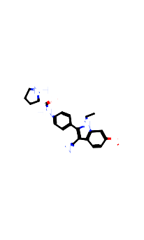 CCn1c(-c2ccc(NC(=O)[C@@H]3CCCN3)cc2)c(C#N)c2ccc(OC)cc21